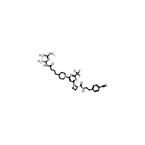 CC(N=C(N)N)NC(=O)CCCC1CCN(c2cc(N3CC[C@H]3C(=O)NCCc3ccc(C#N)cc3)nc(C(F)(F)F)n2)CC1